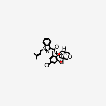 CC(C)=CCn1nc(C(=O)N[C@H]2C[C@H]3COC[C@@H](C2)N3Cc2ccc(Cl)cc2Cl)c2ccccc21